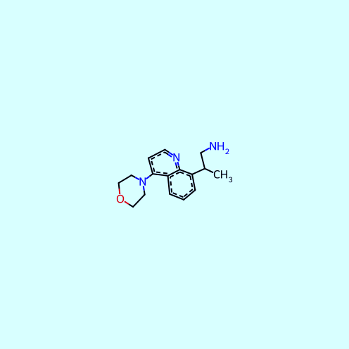 CC(CN)c1cccc2c(N3CCOCC3)ccnc12